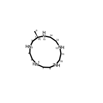 C[C@@H]1CNCCNCCNCCNCCN1